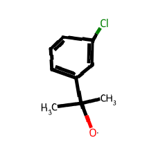 CC(C)([O])c1cccc(Cl)c1